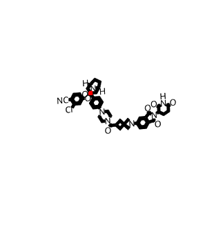 N#Cc1ccc(O[C@H]2C[C@H]3CC[C@@H](C2)N3C(=O)c2ccc(N3CCN(C(=O)C4CC5(C4)CN(c4ccc6c(c4)C(=O)N(C4CCC(=O)NC4=O)C6=O)C5)CC3)cc2)cc1Cl